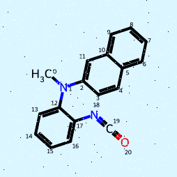 CN(c1ccc2ccccc2c1)c1ccccc1N=C=O